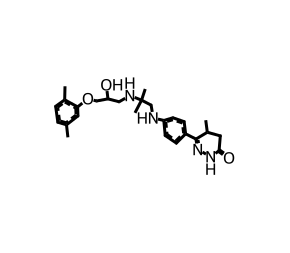 Cc1ccc(C)c(OCC(O)CNC(C)(C)CNc2ccc(C3=NNC(=O)CC3C)cc2)c1